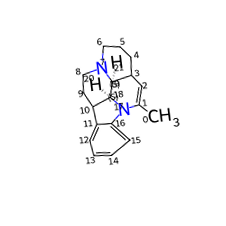 CC1=CC2CCCN3CCC4c5ccccc5N1[C@@H]4[C@H]23